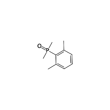 Cc1cccc(C)c1P(C)(C)=O